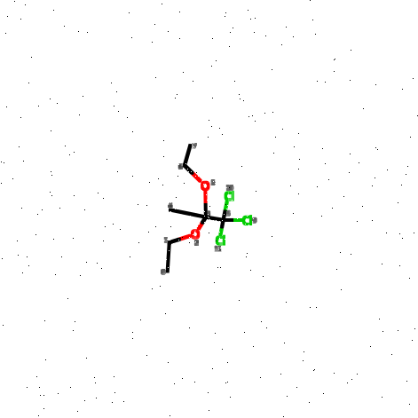 CCOC(C)(OCC)C(Cl)(Cl)Cl